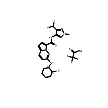 Cn1cc(NC(=O)c2ccc3ccc(N[C@@H]4CCCC[C@@H]4O)nn23)c(C(F)F)n1.O=C(O)C(F)(F)F